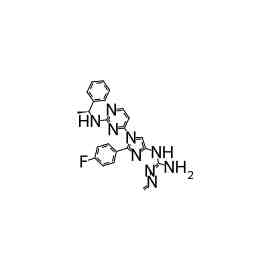 C=NN=C(N)Nc1cn(-c2ccnc(N[C@@H](C)c3ccccc3)n2)c(-c2ccc(F)cc2)n1